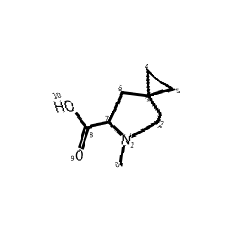 CN1CC2(CC2)CC1C(=O)O